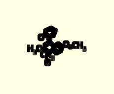 CCOc1ccc2c(c1)C(n1ccccc1=O)=CC(C)(C)C2=C=O